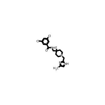 Cc1c[nH]c(CN2CCC(F)(CNC(=O)c3cc(Cl)cc(Cl)c3)CC2)n1